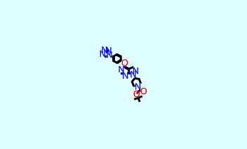 CC(C)(C)OC(=O)N1CCC(n2ncc3c(Oc4ccc(-n5cnnn5)cc4)ncnc32)CC1